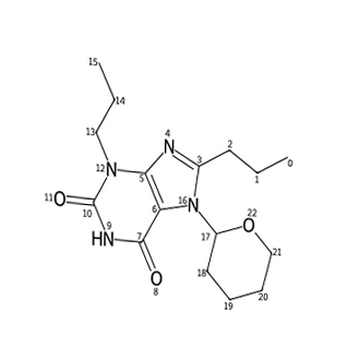 CCCc1nc2c(c(=O)[nH]c(=O)n2CCC)n1C1CCCCO1